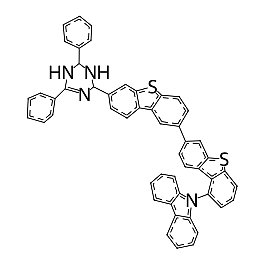 c1ccc(C2=NC(c3ccc4c(c3)sc3ccc(-c5ccc6c(c5)sc5cccc(-n7c8ccccc8c8ccccc87)c56)cc34)NC(c3ccccc3)N2)cc1